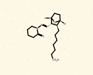 O=C(O)CCCCCC[C@H]1[C@H](C=NN2CCCCC2=O)[C@@H]2CC[C@H]1O2